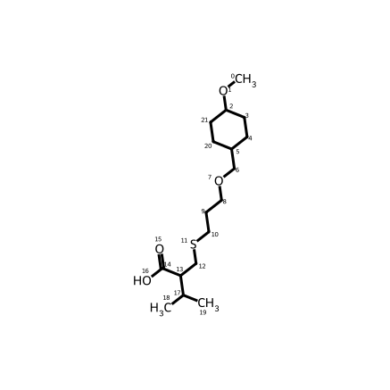 COC1CCC(COCCCSCC(C(=O)O)C(C)C)CC1